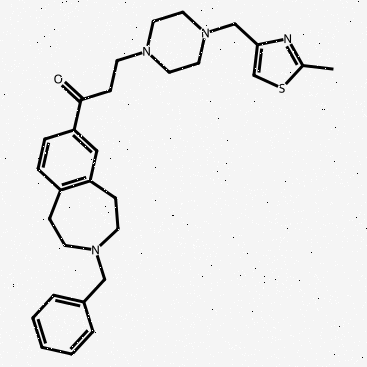 Cc1nc(CN2CCN(CCC(=O)c3ccc4c(c3)CCN(Cc3ccccc3)CC4)CC2)cs1